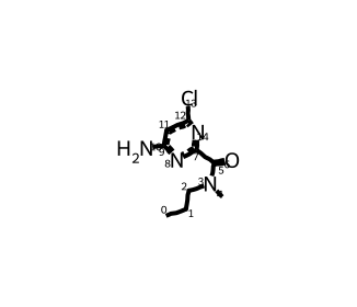 CCCN(C)C(=O)c1nc(N)cc(Cl)n1